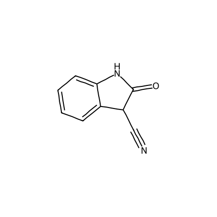 N#CC1C(=O)Nc2ccccc21